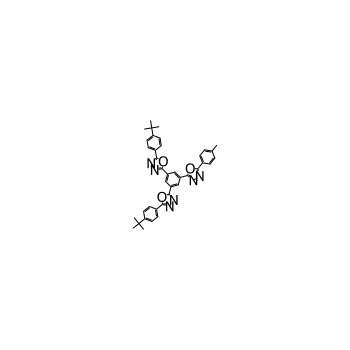 Cc1ccc(-c2nnc(-c3cc(-c4nnc(-c5ccc(C(C)(C)C)cc5)o4)cc(-c4nnc(-c5ccc(C(C)(C)C)cc5)o4)c3)o2)cc1